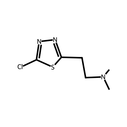 CN(C)CCc1nnc(Cl)s1